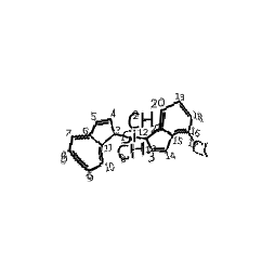 C[Si](C)(C1C=Cc2ccccc21)C1C=Cc2c(Cl)cccc21